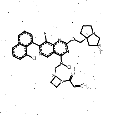 C=CC(=O)N1CC[C@@H]1CN(C)c1nc(OC[C@@]23CCCN2C[C@H](F)C3)nc2c(F)c(-c3cccc4cccc(Cl)c34)ncc12